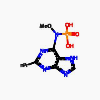 CCCc1nc(N(OC)P(=O)(O)O)c2[nH]cnc2n1